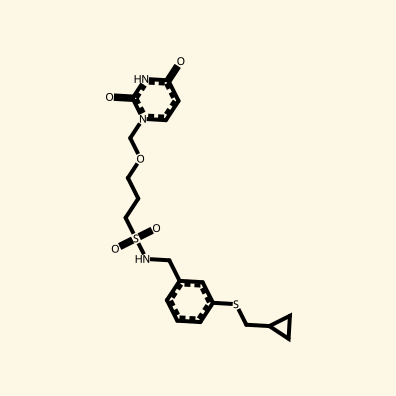 O=c1ccn(COCCCS(=O)(=O)NCc2cccc(SCC3CC3)c2)c(=O)[nH]1